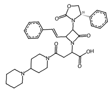 O=C(O)C(CC(=O)N1CCC(N2CCCCC2)CC1)N1C(=O)C(N2C(=O)OC[C@@H]2c2ccccc2)C1C=Cc1ccccc1